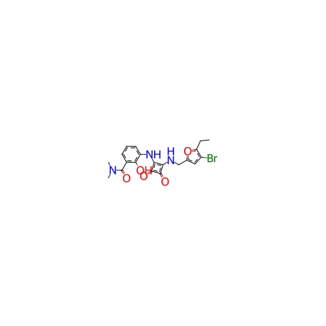 CCc1oc(CNc2c(Nc3cccc(C(=O)N(C)C)c3O)c(=O)c2=O)cc1Br